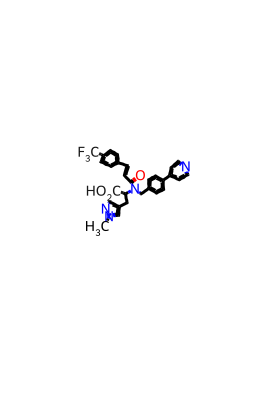 Cn1cc(CC(C(=O)O)N(Cc2ccc(-c3ccncc3)cc2)C(=O)/C=C/c2ccc(C(F)(F)F)cc2)cn1